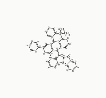 C[Si]1(C)c2ccccc2N2c3cc(-c4ccccc4)cc4c3B(c3cccc1c32)n1c2oc3ccccc3c2c2cccc-4c21